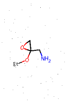 CCOC1(CN)CO1